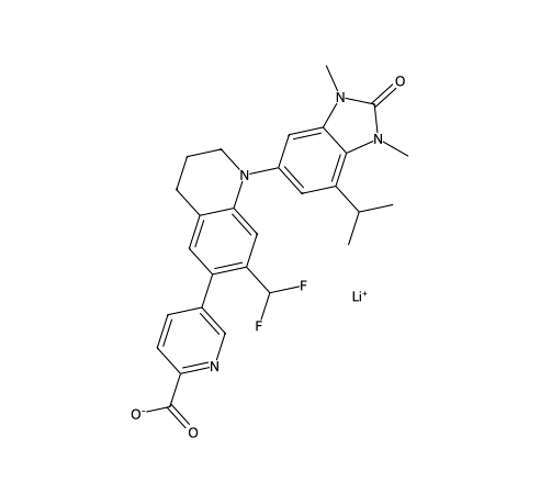 CC(C)c1cc(N2CCCc3cc(-c4ccc(C(=O)[O-])nc4)c(C(F)F)cc32)cc2c1n(C)c(=O)n2C.[Li+]